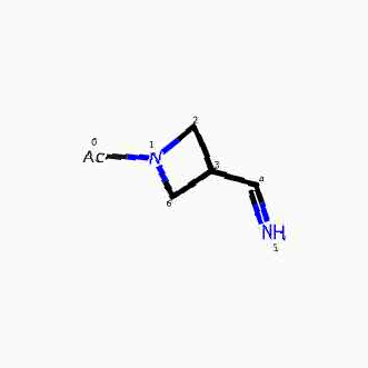 CC(=O)N1CC(C=N)C1